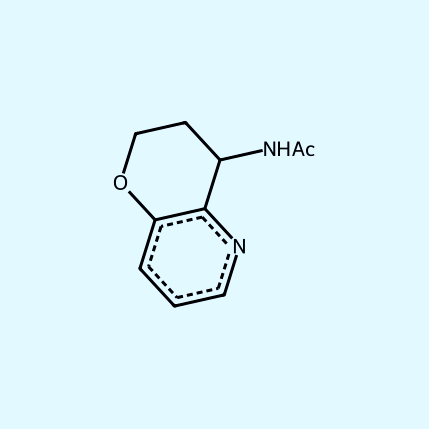 CC(=O)NC1CCOc2cccnc21